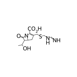 CC(O)C1C(=O)N2C(C(=O)O)=C(CSCNC=N)CC12